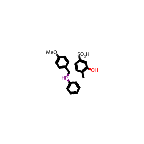 COc1ccc(CPc2ccccc2)cc1.Cc1ccc(S(=O)(=O)O)cc1O